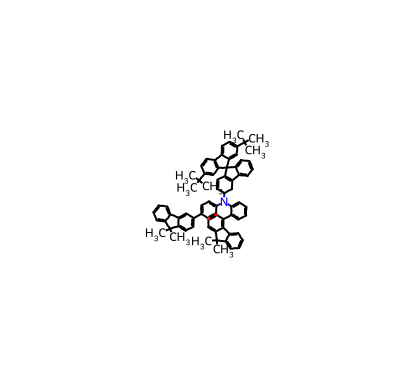 CC(C)(C)c1ccc2c(c1)C1(C3=C(CC(N(c4ccc(-c5ccc6c(c5)-c5ccccc5C6(C)C)cc4)c4ccccc4-c4cccc5c4-c4ccccc4C5(C)C)C=C3)c3ccccc31)c1cc(C(C)(C)C)ccc1-2